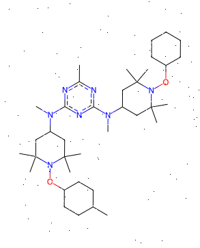 Cc1nc(N(C)C2CC(C)(C)N(OC3CCCCC3)C(C)(C)C2)nc(N(C)C2CC(C)(C)N(OC3CCC(C)CC3)C(C)(C)C2)n1